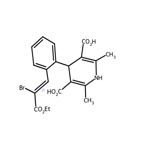 CCOC(=O)/C(Br)=C/c1ccccc1C1C(C(=O)O)=C(C)NC(C)=C1C(=O)O